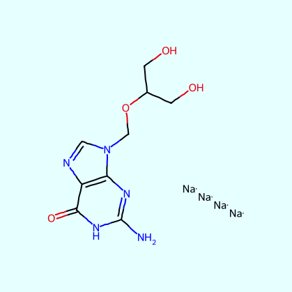 Nc1nc2c(ncn2COC(CO)CO)c(=O)[nH]1.[Na].[Na].[Na].[Na]